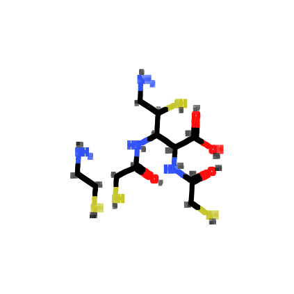 NCC(S)C(NC(=O)CS)C(NC(=O)CS)C(=O)O.NCCS